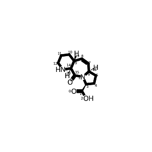 O=C(O)[C@@H]1CC[C@@H]2C=C[C@H]3CCCN[C@@H]3C(=O)N21